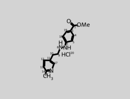 COC(=O)c1ccc(NNCCc2ccc(C)nc2)cc1.Cl